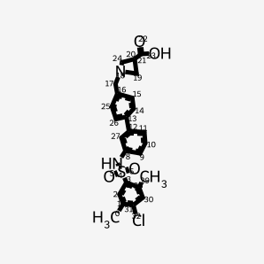 Cc1cc(S(=O)(=O)Nc2cccc(-c3ccc(CN4CC(C(=O)O)C4)cc3)c2)c(C)cc1Cl